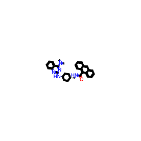 CN(C)c1nc(N[C@H]2CC[C@@H](CNC(=O)c3c4ccccc4cc4ccccc34)CC2)nc2ccccc12